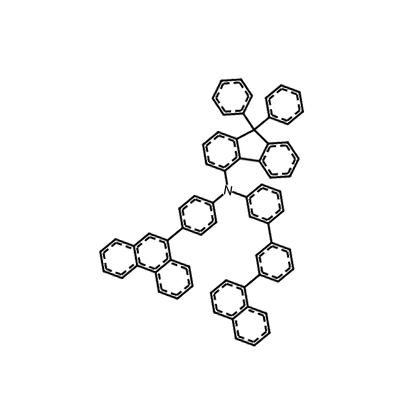 c1ccc(C2(c3ccccc3)c3ccccc3-c3c(N(c4ccc(-c5cc6ccccc6c6ccccc56)cc4)c4cccc(-c5cccc(-c6cccc7ccccc67)c5)c4)cccc32)cc1